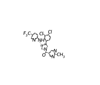 Cc1ncc(C(=O)N2C[C@H](CNc3ccc(C(F)(F)F)cn3)[C@@H](c3ccc(Cl)c(Cl)c3)C2)cn1